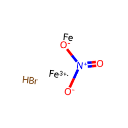 Br.O=[N+]([O-])[O-].[Fe+3].[Fe]